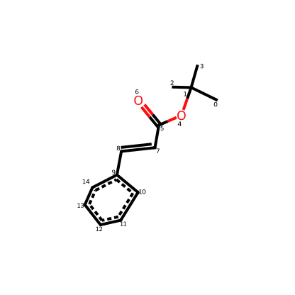 CC(C)(C)OC(=O)C=Cc1cc[c]cc1